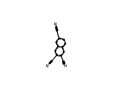 N#Cc1ccc2[c]c(C#N)c(C#N)cc2c1